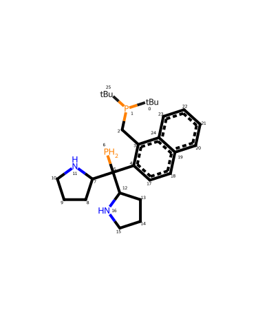 CC(C)(C)P(Cc1c(C(P)(C2CCCN2)C2CCCN2)ccc2ccccc12)C(C)(C)C